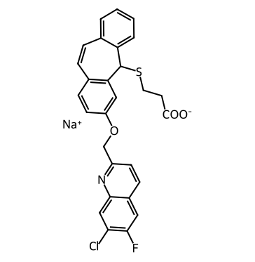 O=C([O-])CCSC1c2ccccc2C=Cc2ccc(OCc3ccc4cc(F)c(Cl)cc4n3)cc21.[Na+]